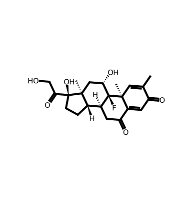 CC1=C[C@@]2(C)C(=CC1=O)C(=O)C[C@H]1[C@@H]3CC[C@](O)(C(=O)CO)[C@@]3(C)C[C@H](O)[C@@]12F